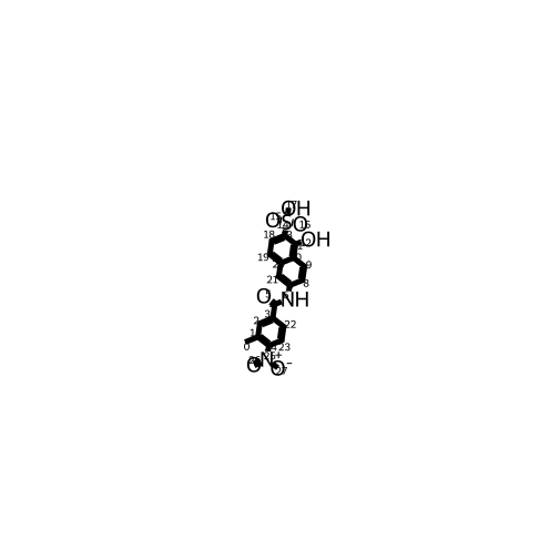 Cc1cc(C(=O)Nc2ccc3c(O)c(S(=O)(=O)O)ccc3c2)ccc1[N+](=O)[O-]